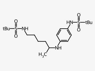 CC(CCCCNS(=O)(=O)C(C)(C)C)Nc1ccc(NS(=O)(=O)C(C)(C)C)cc1